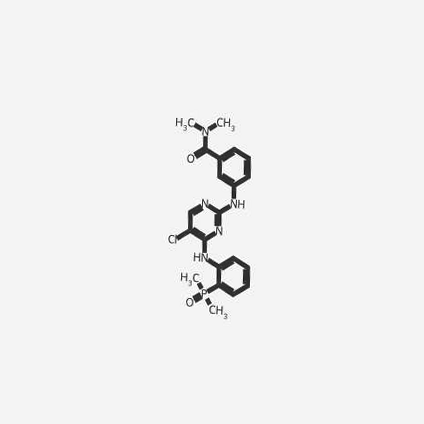 CN(C)C(=O)c1cccc(Nc2ncc(Cl)c(Nc3ccccc3P(C)(C)=O)n2)c1